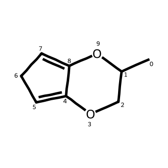 CC1COC2=CCC=C2O1